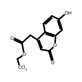 O=C(Cc1cc(=O)oc2cc(O)ccc12)OCC(Cl)(Cl)Cl